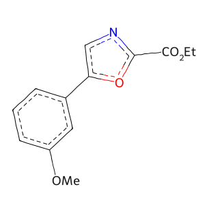 CCOC(=O)c1ncc(-c2cccc(OC)c2)o1